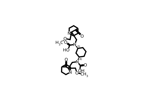 COCC1(CN(C(=O)O)[C@@H]2CCC[C@H](N(CC3(COC)C(=O)C4CCN3CC4)C(=O)O)C2)C(=O)C2CCN1CC2